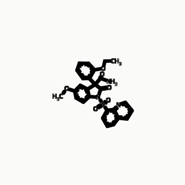 CCOc1ccccc1C1(C(N)=O)C(=O)N(S(=O)(=O)c2cccc3cccnc23)c2ccc(OC)cc21